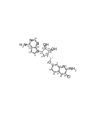 Nc1nc2cc(OC[C@@H]3SC(n4ccc5c(N)ncnc54)[C@@H](O)[C@H]3O)ccc2cc1Cl